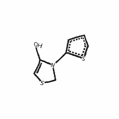 OC1=CSCN1c1cccs1